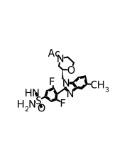 CC(=O)N1CCO[C@@H](Cn2c(-c3c(F)cc(S(=N)(N)=O)cc3F)nc3cc(C)ccc32)C1